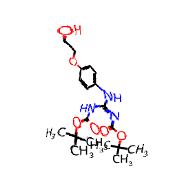 CC(C)(C)OC(=O)/N=C(\NC(=O)OC(C)(C)C)Nc1ccc(OCCO)cc1